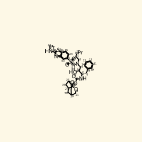 CC(C)CCN(C[C@@H](O)[C@H](Cc1ccccc1)NC(=O)OC1C2COC3OC1CC3C2)NS(=O)(=O)c1ccc2sc(NC(C)C)nc2c1